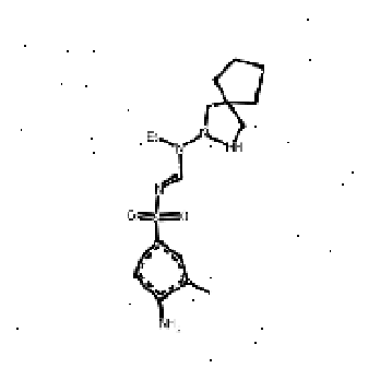 CCN(C=NS(=O)(=O)c1ccc(N)c(C)c1)N1CC2(CCCC2)CN1